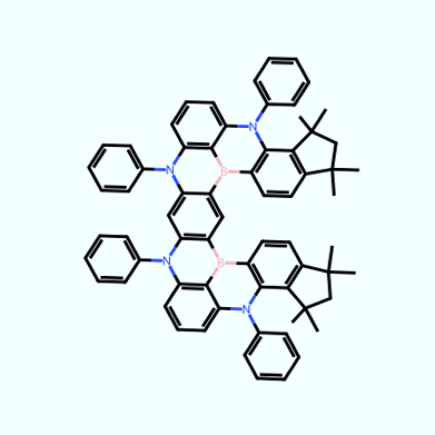 CC1(C)CC(C)(C)c2c1ccc1c2N(c2ccccc2)c2cccc3c2B1c1cc2c(cc1N3c1ccccc1)N(c1ccccc1)c1cccc3c1B2c1ccc2c(c1N3c1ccccc1)C(C)(C)CC2(C)C